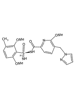 COc1ccc(C)c(OC)c1[S@@](=N)(=O)NC(=O)c1ccc(Cn2cccn2)c(OC)n1